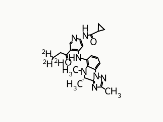 [2H]C([2H])([2H])CC(=O)c1cnc(NC(=O)C2CC2)cc1Nc1cccc2c1N(C)[C@@H](C)c1nc(C)nn1-2